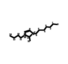 CCCCCCCN1C=CN(CCCC)C1C